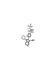 Cc1ccc2c(c1)c(C#N)c(-c1ccc(S(=O)(=O)N[C@@H](C)C(F)(F)F)cn1)n2C1CCCCC1